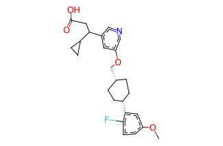 COc1ccc(F)c([C@H]2CC[C@@H](COc3cncc(C(CC(=O)O)C4CC4)c3)CC2)c1